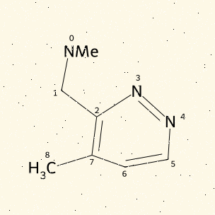 CNCc1nnccc1C